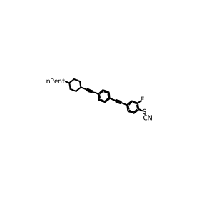 CCCCCC1CCC(C#Cc2ccc(C#Cc3ccc(SC#N)c(F)c3)cc2)CC1